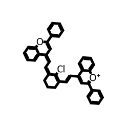 ClC1=C(/C=C/c2cc(-c3ccccc3)[o+]c3ccccc23)CCC/C1=C/C=C1/C=C(c2ccccc2)Oc2ccccc21